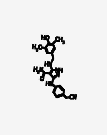 Cc1cc(CNc2[nH]nc(Nc3ccc(CC#N)cc3)c2C(N)=O)cc(C)c1O